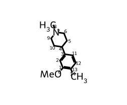 COc1cc(C2CCN(C)CC2)ccc1C